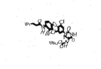 CC(C)C=CC(=O)Nc1ccc(Oc2c(Cl)cc(-n3nc(NC(=O)OC(C)(C)C)c(=O)[nH]c3=O)cc2Cl)cc1Br